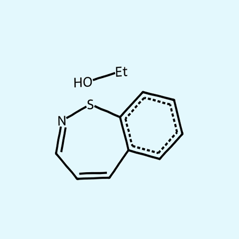 C1=Cc2ccccc2SN=C1.CCO